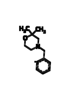 CC1(C)CN(Cc2[c]cccc2)CCO1